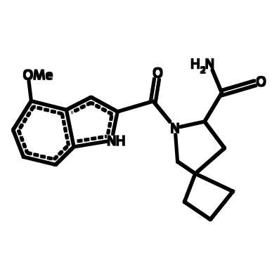 COc1cccc2[nH]c(C(=O)N3CC4(CCC4)CC3C(N)=O)cc12